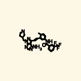 Cc1ccc(NC(=O)c2cccc(C(F)(F)F)c2)cc1C#Cc1nn(CC2CCN(C)C2)c2ncnc(N)c12